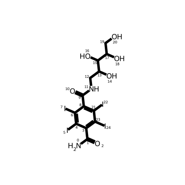 NC(=O)c1c(I)c(I)c(C(=O)NCC(O)C(O)C(O)CO)c(I)c1I